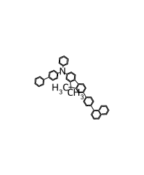 CC1(C)c2cc(-c3ccc(-c4cccc5ccccc45)cc3)ccc2-c2ccc(N(c3ccccc3)c3ccc(-c4ccccc4)cc3)cc21